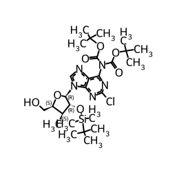 C[C@@H]1[C@@H](O[Si](C)(C)C(C)(C)C)[C@H](n2cnc3c(N(C(=O)OC(C)(C)C)C(=O)OC(C)(C)C)nc(Cl)nc32)O[C@@H]1CO